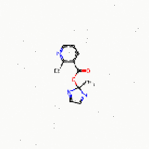 CCc1ncccc1C(=O)OC1(C)N=CC=N1